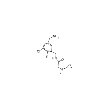 CN(CC(=O)NCc1cc(CN)cc(Cl)c1F)C1CC1